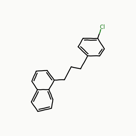 Clc1ccc(CCCc2cccc3ccccc23)cc1